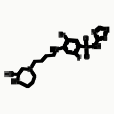 O=S(=O)(Nc1ncns1)c1cc(Br)c(NCCCCN2CCCNC(O)C2)cc1F